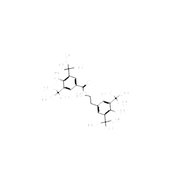 CC(C)(C)c1cc(CCNC(=O)c2cc(C(C)(C)C)c(O)c(C(C)(C)C)c2)cc(C(C)(C)C)c1O